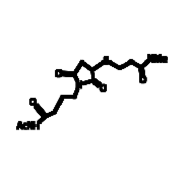 CNC(=O)CCSC1CC(=O)N(CCCC(=O)NC(C)=O)C1=O